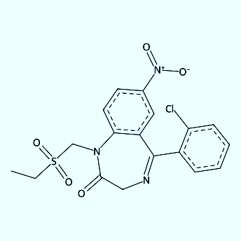 CCS(=O)(=O)CN1C(=O)CN=C(c2ccccc2Cl)c2cc([N+](=O)[O-])ccc21